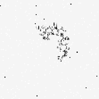 Cc1cc(NC2CCN(C(=O)Cc3ccc(OC(F)(F)F)cc3)C2)nc2cscc12